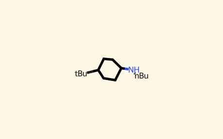 [CH2-][CH+]CCNC1CCC(C(C)(C)C)CC1